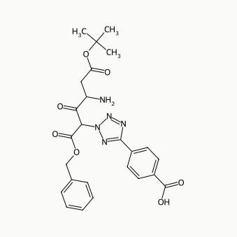 CC(C)(C)OC(=O)CC(N)C(=O)C(C(=O)OCc1ccccc1)n1nnc(-c2ccc(C(=O)O)cc2)n1